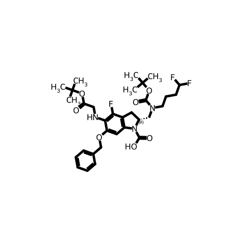 CC(C)(C)OC(=O)CNc1c(OCc2ccccc2)cc2c(c1F)C[C@H](CN(CCCC(F)F)C(=O)OC(C)(C)C)N2C(=O)O